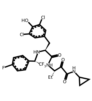 CC[C@H](NC(=O)[C@H](Cc1cc(Cl)c(O)c(Cl)c1)N[C@@H](c1ccc(F)cc1)C(F)(F)F)C(=O)C(=O)NC1CC1